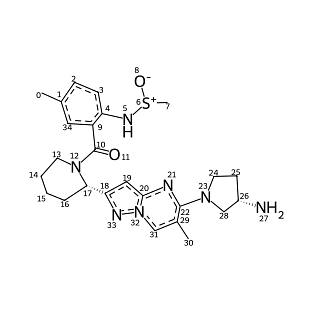 Cc1ccc(N[S+](C)[O-])c(C(=O)N2CCCC[C@H]2c2cc3nc(N4CC[C@H](N)C4)c(C)cn3n2)c1